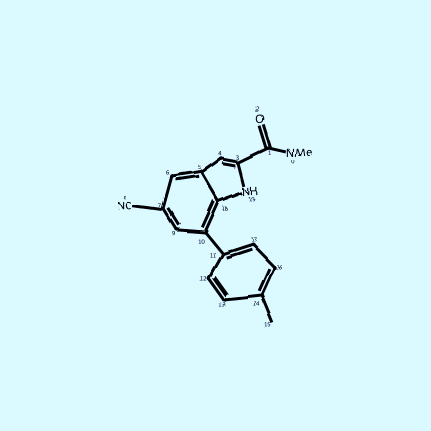 CNC(=O)c1cc2cc(C#N)cc(-c3ccc(C)cc3)c2[nH]1